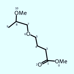 COC(=O)CCCOCC(C)OC